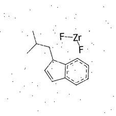 CC(C)C[C]1C=Cc2ccccc21.[F][Zr][F]